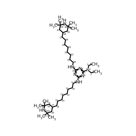 CCN(CC)c1nc(NCCCCCCCCC2CC(C)(C)NC(C)(C)C2)nc(NCCCCCCCCC2CC(C)(C)NC(C)(C)C2)n1